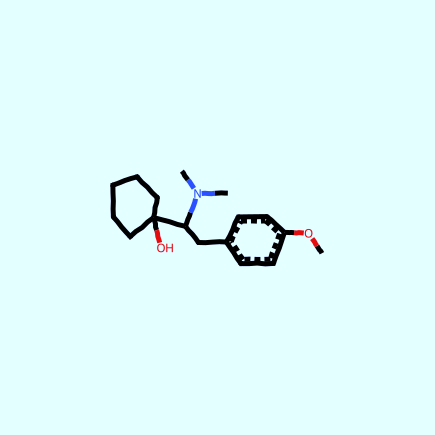 COc1ccc(CC(N(C)C)C2(O)CCCCC2)cc1